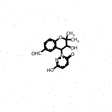 CC1(C)Oc2ccc(C=O)cc2C(n2nc(O)ccc2=O)C1O